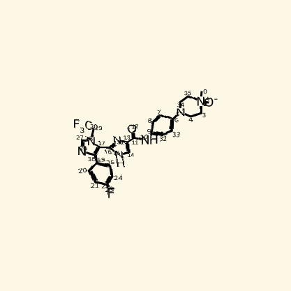 C[N+]1([O-])CCN(c2ccc(NC(=O)c3c[nH]c(-c4c(-c5ccc(F)cc5)ncn4CC(F)(F)F)n3)cc2)CC1